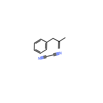 C=C(C)Cc1ccccc1.N#CC#N